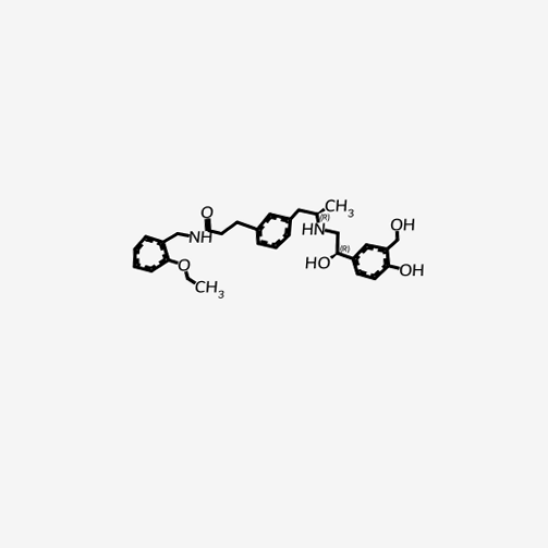 CCOc1ccccc1CNC(=O)CCc1cccc(C[C@@H](C)NC[C@H](O)c2ccc(O)c(CO)c2)c1